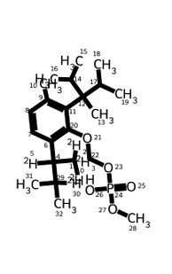 [2H]C([2H])([2H])C([2H])(c1ccc(C)c(C(C)(C(C)C)C(C)C)c1OCOP(=O)(O)OC)C([2H])(C)C